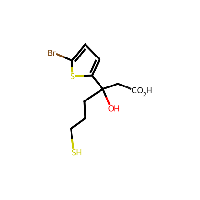 O=C(O)CC(O)(CCCS)c1ccc(Br)s1